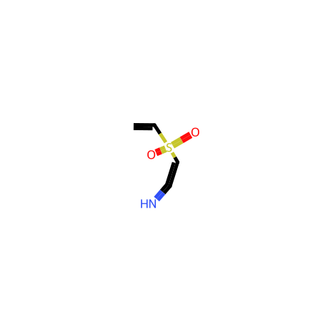 C=CS(=O)(=O)C=C=N